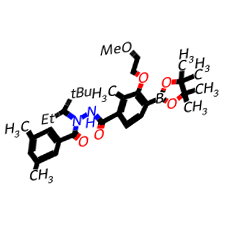 CCC(N(NC(=O)c1ccc(B2OC(C)(C)C(C)(C)O2)c(OCCOC)c1C)C(=O)c1cc(C)cc(C)c1)C(C)(C)C